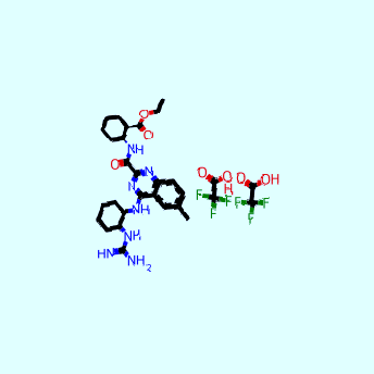 CCOC(=O)[C@@H]1CCCC[C@H]1NC(=O)c1nc(NC2CCCCC2NC(=N)N)c2cc(C)ccc2n1.O=C(O)C(F)(F)F.O=C(O)C(F)(F)F